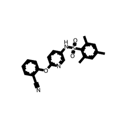 Cc1cc(C)c(S(=O)(=O)Nc2ccc(Oc3ccccc3C#N)nc2)c(C)c1